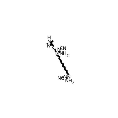 Cc1[nH]cnc1CSCCN(CCCCCCCCCCCCN(C)C(N)=NC#N)C(N)=NC#N